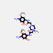 COc1cc(NC(=O)CN2CC[N+](C)(CC(=O)Nc3cc(OC)c(N)cc3O)CC2)c(O)cc1N